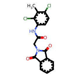 Cc1c(Cl)ccc(NC(=O)CN2C(=O)c3ccccc3C2=O)c1Cl